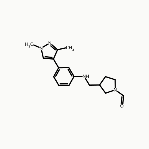 Cc1nn(C)cc1-c1cccc(NCC2CCN(C=O)C2)c1